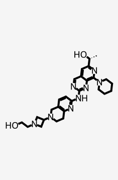 C[C@@H](O)c1cc2cnc(Nc3ccc4c(n3)CCN(C3CN(CCO)C3)C4)nc2c(N2CCCCC2)n1